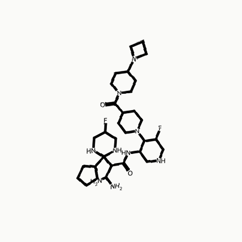 NC(N)C(C(=O)NC1CNCC(F)C1N1CCC(C(=O)N2CCC(N3CCC3)CC2)CC1)C1(C2CCCC2)NCC(F)CN1